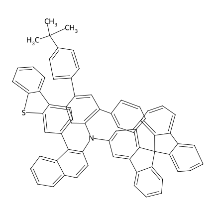 CC(C)(C)c1ccc(-c2ccc(N(c3ccc4c(c3)-c3ccccc3C43c4ccccc4-c4ccccc43)c3ccc4ccccc4c3-c3ccc4c(c3)sc3ccccc34)c(-c3ccccc3)c2)cc1